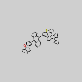 c1ccc(-c2c3ccccc3c(-c3cccc4sc5cc(-c6c7ccccc7c(-c7ccc8oc9c%10ccccc%10ccc9c8c7)c7ccccc67)ccc5c34)c3ccccc23)cc1